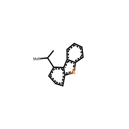 CNC(C)c1cccc2sc3ccccc3c12